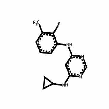 Fc1c(Nc2cc(NC3CC3)ncn2)cccc1C(F)(F)F